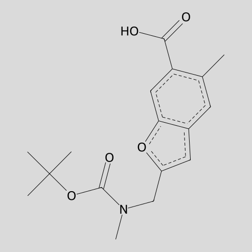 Cc1cc2cc(CN(C)C(=O)OC(C)(C)C)oc2cc1C(=O)O